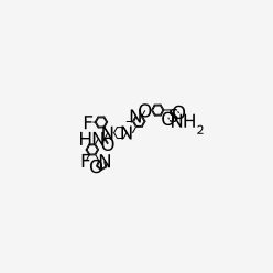 Cc1nc(Oc2ccc(CS(N)(=O)=O)cc2)ccc1CN1CCC(N(C(=O)Nc2ccc(F)c(-c3ncco3)c2)c2cccc(F)c2)CC1